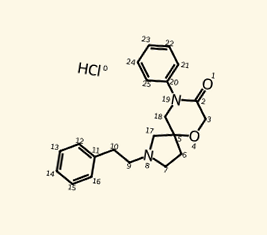 Cl.O=C1COC2(CCN(CCc3ccccc3)C2)CN1c1ccccc1